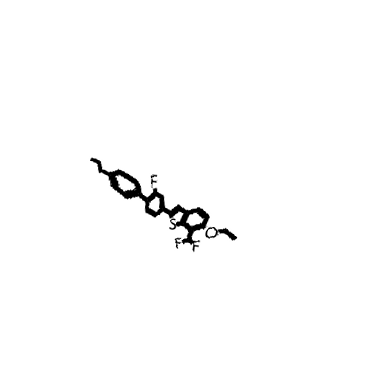 CCCc1ccc(-c2ccc(-c3cc4ccc(OCC)c(C(F)F)c4s3)cc2F)cc1